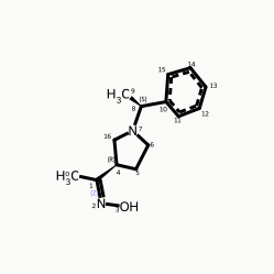 C/C(=N/O)[C@@H]1CCN([C@@H](C)c2ccccc2)C1